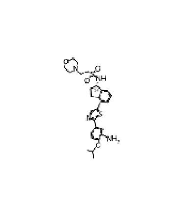 CC(C)Oc1ccc(-c2ncc(-c3cccc4c3CC[C@@H]4NS(=O)(=O)CCN3CCOCC3)s2)cc1N